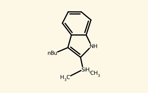 CCCCc1c([SiH](C)C)[nH]c2ccccc12